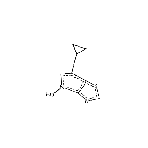 On1cc(C2CC2)c2scnc21